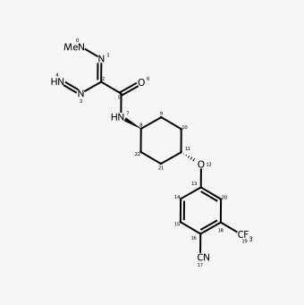 CN/N=C(\N=N)C(=O)N[C@H]1CC[C@H](Oc2ccc(C#N)c(C(F)(F)F)c2)CC1